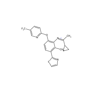 C/C(=N/c1c(Oc2ccc(C(F)(F)F)cn2)ccc(-c2nccs2)c1C)C1CC1